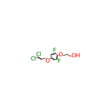 OCCCOc1c(F)cc(OCC=C(Cl)Cl)cc1F